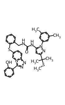 CSC(C)(C)c1cc(NC(=O)NCc2ccccc2Sc2ccc3nnc(-c4ccccc4O)n3c2)n(-c2cc(C)cc(C)c2)n1